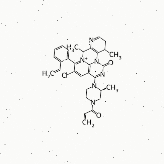 C=CC(=O)N1CCN(c2nc(=O)n3c4c2cc(Cl)c(-c2ccccc2C=C)[n+]4C(C)C2=C3C(C)CC=N2)[C@@H](C)C1